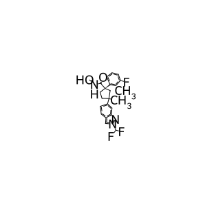 Cc1c(F)cccc1[C@]1(C(=O)NO)CC[C@@](C)(c2ccc3cn(C(F)F)nc3c2)C1